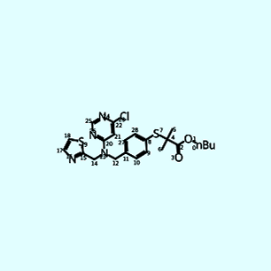 CCCCOC(=O)C(C)(C)Sc1ccc(CN(Cc2nccs2)c2cc(Cl)ncn2)cc1